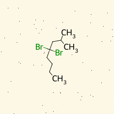 CCCCC(Br)(Br)CC(C)C